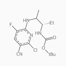 CC[C@H](NC(=O)OC(C)(C)C)C(C)Nc1nc(Cl)c(C#N)cc1F